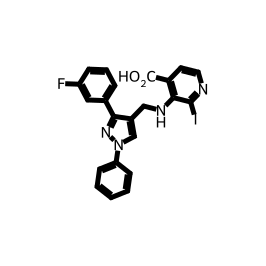 O=C(O)c1ccnc(I)c1NCc1cn(-c2ccccc2)nc1-c1cccc(F)c1